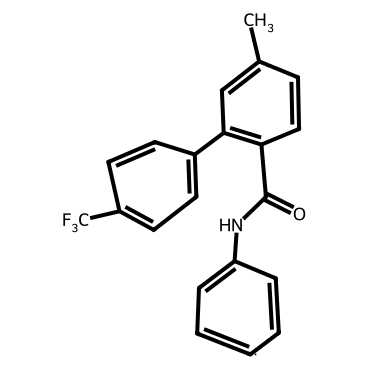 Cc1ccc(C(=O)Nc2cc[c]cc2)c(-c2ccc(C(F)(F)F)cc2)c1